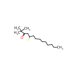 CCCCCCCCCC(F)CC(=O)C(C)(C)C